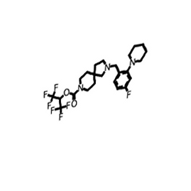 O=C(OC(C(F)(F)F)C(F)(F)F)N1CCC2(CCN(Cc3ccc(F)cc3N3CCCCC3)C2)CC1